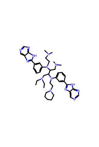 CCN(CC)CC(C(CN(C)C)N(CCN(C)C)c1cccc(-c2nc3cncnc3[nH]2)c1)N(CCN1CCCCC1)c1cccc(-c2nc3cncnc3[nH]2)c1